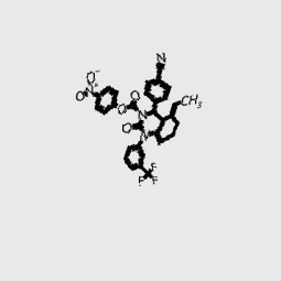 CC=C1CCCC2=C1C(c1ccc(C#N)cc1)N(C(=O)Oc1ccc([N+](=O)[O-])cc1)C(=O)N2c1cccc(C(F)(F)F)c1